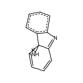 C1=CC2=Nc3ccccc3C23C=CNC3=C1